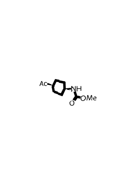 COC(=O)N[C@H]1CC[C@@H](C(C)=O)CC1